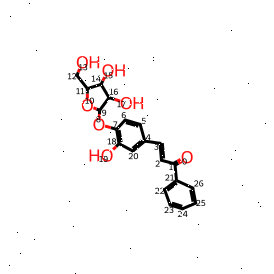 O=C(C=Cc1ccc(OC2OC(CO)C(O)C2O)c(O)c1)c1ccccc1